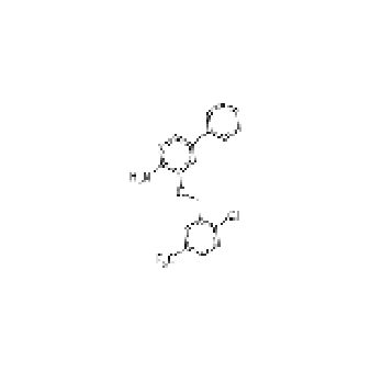 Nc1ncc(-c2ccccc2)cc1OCc1cc(C(F)(F)F)ccc1Cl